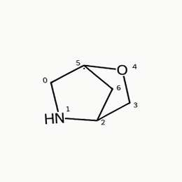 C1NC2CO[C]1C2